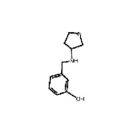 Oc1cccc(CNC2CC[N]C2)c1